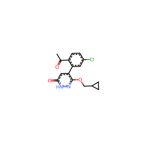 CC(=O)c1ccc(Cl)cc1-c1cc(=O)[nH]nc1OCC1CC1